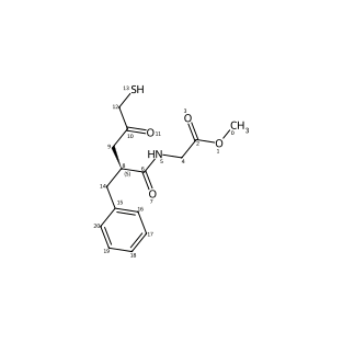 COC(=O)CNC(=O)[C@H](CC(=O)CS)Cc1ccccc1